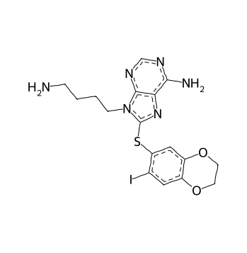 NCCCCn1c(Sc2cc3c(cc2I)OCCO3)nc2c(N)ncnc21